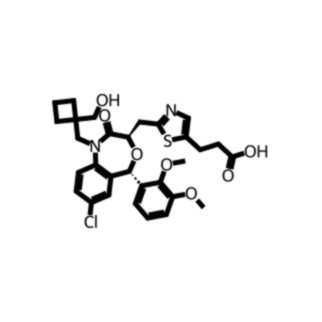 COc1cccc([C@H]2O[C@H](Cc3ncc(CCC(=O)O)s3)C(=O)N(CC3(CO)CCC3)c3ccc(Cl)cc32)c1OC